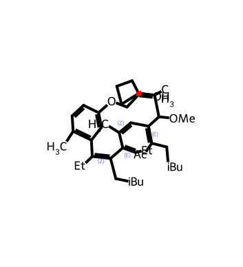 CC/C=C(C(\C)=C/C(=C(/CC(C)CC)C(C)=O)C(OC)C(C)=C1CCC1)/C(CC(C)CC)=C(/CC)c1cc(OCCO)ccc1C